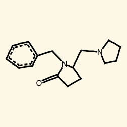 O=C1CCC(CN2CCCC2)N1Cc1ccccc1